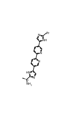 CC(C)c1ncc(-c2ccc(-c3ccc(-c4cnc([C@H](C)N)[nH]4)cn3)nc2)[nH]1